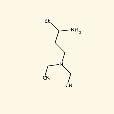 CCC(N)CCN(CC#N)CC#N